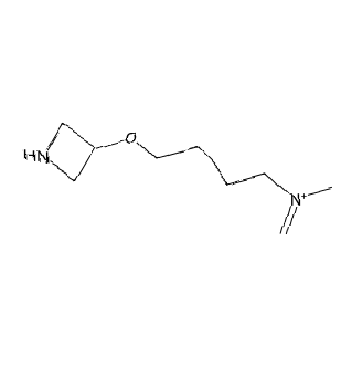 C=[N+](C)CCCCOC1CNC1